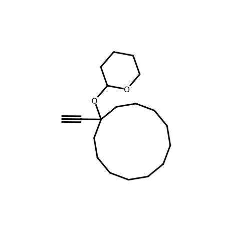 C#CC1(OC2CCCCO2)CCCCCCCCCCC1